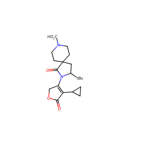 CC(C)(C)C1CC2(CCN(C(=O)O)CC2)C(=O)N1C1=C(C2CC2)C(=O)OC1